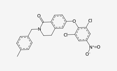 Cc1ccc(CN2CCc3cc(Oc4c(Cl)cc([N+](=O)[O-])cc4Cl)ccc3C2=O)cc1